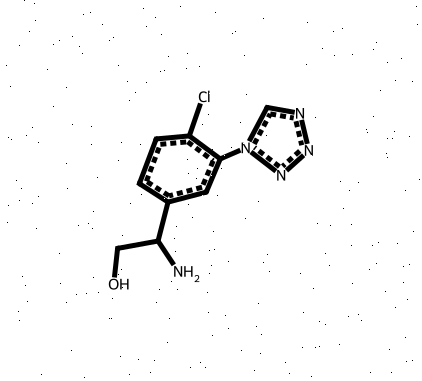 NC(CO)c1ccc(Cl)c(-n2cnnn2)c1